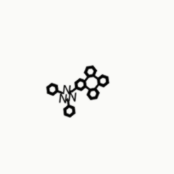 c1ccc(-c2nc(-c3ccccc3)nc(-c3ccc4c(c3)-c3ccccc3-c3ccccc3-c3ccccc3-4)n2)cc1